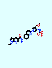 CCn1ccc2cc(C(=O)N[C@H]3CCc4nc(N5C[C@@H](COC)[C@@H](NC(=O)O)C5)ccc4C3)cnc21